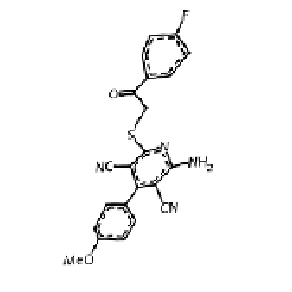 COc1ccc(-c2c(C#N)c(N)nc(SCC(=O)c3ccc(F)cc3)c2C#N)cc1